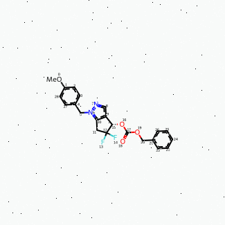 COc1ccc(Cn2ncc3c2CC(F)(F)[C@H]3OC(=O)OCc2ccccc2)cc1